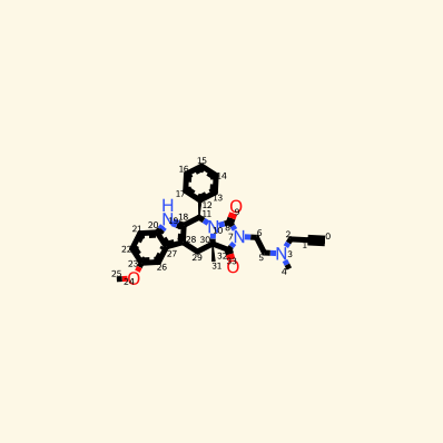 C#CCN(C)CCN1C(=O)N2[C@H](c3ccccc3)c3[nH]c4ccc(OC)cc4c3C[C@@]2(C)C1=O